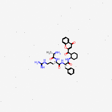 C[C@H](N)C(=O)N[C@@H](CCCNC(=N)N)C(=O)N[C@@H](Cc1ccccc1)C(=O)NC1CCCCC1C(=O)c1cc(=O)c2ccccc2o1